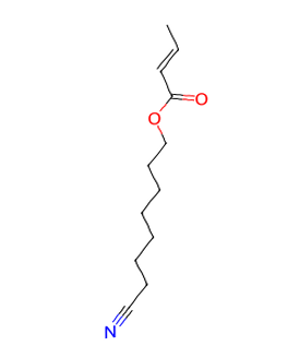 C/C=C/C(=O)OCCCCCCCC#N